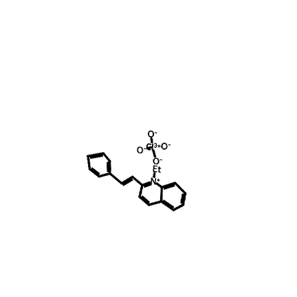 CC[n+]1c(/C=C/c2ccccc2)ccc2ccccc21.[O-][Cl+3]([O-])([O-])[O-]